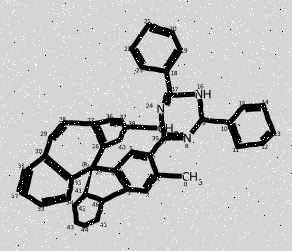 Cc1cc2c(cc1C1=NC(c3ccccc3)NC(c3ccccc3)=N1)[C@]1(C3=C(C=Cc4c#cccc41)C=CC(C)C3)C1CCCCC21